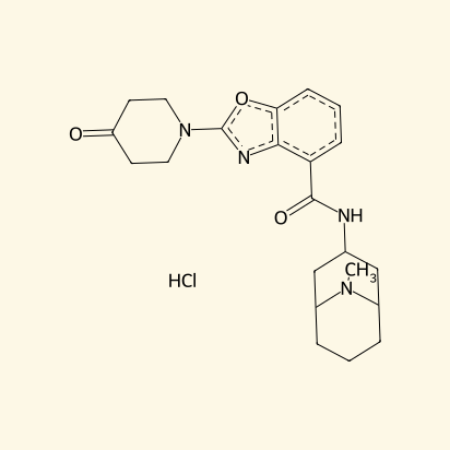 CN1C2CCCC1CC(NC(=O)c1cccc3oc(N4CCC(=O)CC4)nc13)C2.Cl